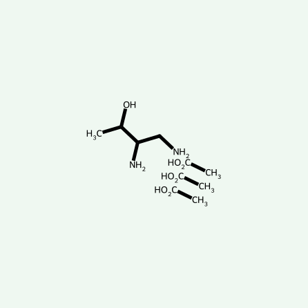 CC(=O)O.CC(=O)O.CC(=O)O.CC(O)C(N)CN